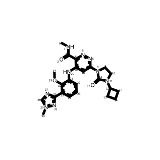 CNC(=O)c1nnc(N2CCN(C3CCC3)C2=O)cc1Nc1cccc(-c2ncn(C)n2)c1OC